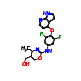 CC1N=C(Nc2cc(F)c(Oc3ccnc4[nH]ccc34)c(F)c2)OCC1CO